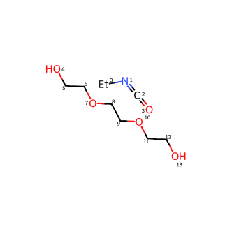 CCN=C=O.OCCOCCOCCO